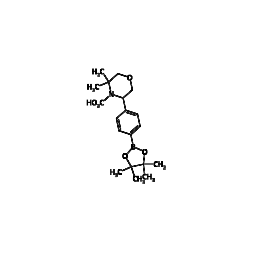 CC1(C)COCC(c2ccc(B3OC(C)(C)C(C)(C)O3)cc2)N1C(=O)O